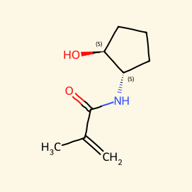 C=C(C)C(=O)N[C@H]1CCC[C@@H]1O